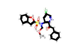 COCN(c1cc(Cl)cnc1C(=O)Cc1ccccc1)S(=O)(=O)c1cc2ccccc2o1